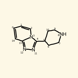 c1ccn2c(C3CCNCC3)nnc2c1